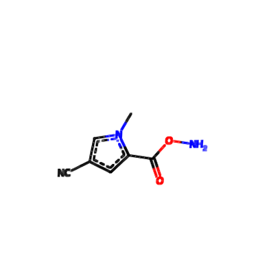 Cn1cc(C#N)cc1C(=O)ON